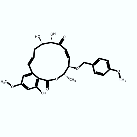 COc1ccc(CO[C@@H]2/C=C\C(=O)[C@@H](O)[C@@H](O)C/C=C/c3cc(OC)cc(O)c3C(=O)O[C@H]2C)cc1